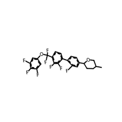 CC1CCC(c2ccc(-c3ccc(C(F)(F)Oc4cc(F)c(F)c(F)c4)c(F)c3F)c(F)c2)OC1